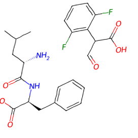 CC(C)C[C@H](N)C(=O)N[C@@H](Cc1ccccc1)C(=O)O.O=CC(C(=O)O)c1c(F)cccc1F